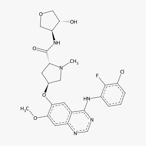 COc1cc2ncnc(Nc3cccc(Cl)c3F)c2cc1O[C@H]1C[C@H](C(=O)N[C@H]2COC[C@@H]2O)N(C)C1